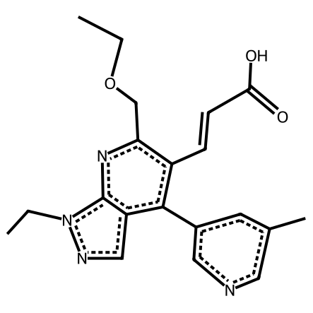 CCOCc1nc2c(cnn2CC)c(-c2cncc(C)c2)c1/C=C/C(=O)O